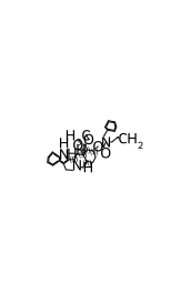 C=CCN(Cc1ccccc1)C(=O)O[C@H]1CC[C@H]2CN3CCc4c([nH]c5ccccc45)[C@@H]3C[C@@H]2[C@H]1C(=O)OC